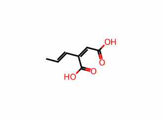 CC=C/C(=C/C(=O)O)C(=O)O